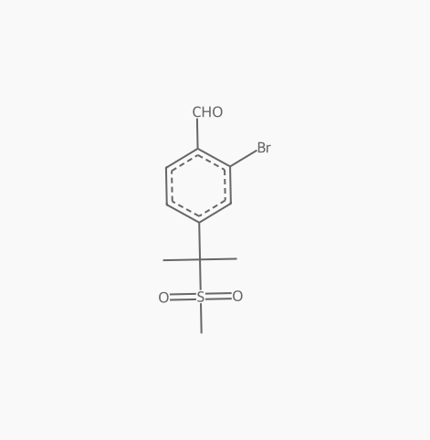 CC(C)(c1ccc(C=O)c(Br)c1)S(C)(=O)=O